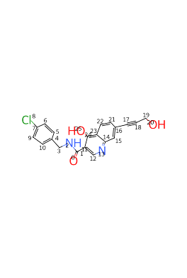 O=C(NCc1ccc(Cl)cc1)c1cnc2cc(C#CCO)ccc2c1O